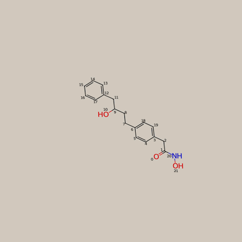 O=C(Cc1ccc(CCC(O)Cc2ccccc2)cc1)NO